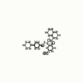 CCC(C)c1ccc(OC(OCCOc2ccc(C3CCCCC3)cc2)C2CCCC3CCCCC32)cc1